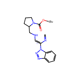 C=N/C(=C\NCC1CCCN1C(=O)OC(C)(C)C)n1nnc2ccccc21